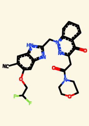 N#Cc1cc2[nH]c(Cn3nc(CC(=O)N4CCOCC4)c(=O)c4ccccc43)nc2cc1OCC(F)F